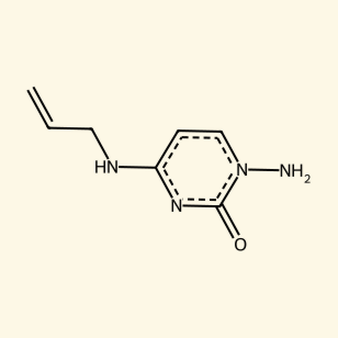 C=CCNc1ccn(N)c(=O)n1